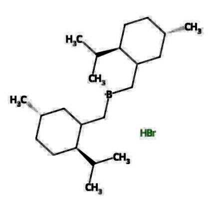 Br.CC(C)[C@H]1CC[C@H](C)CC1C[B]CC1C[C@@H](C)CC[C@@H]1C(C)C